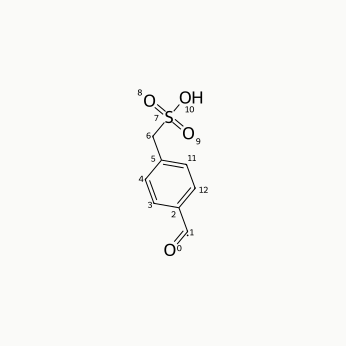 O=[C]c1ccc(CS(=O)(=O)O)cc1